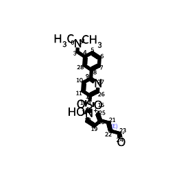 CN(C)Cc1cccc(-c2ccc(S(=O)(=O)[N+]3(O)C=CC(/C=C/[C]=O)=C3)cn2)c1